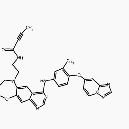 CC#CC(=O)NCCN1CCCOc2cc3ncnc(Nc4ccc(Oc5ccn6ncnc6c5)c(C)c4)c3cc21